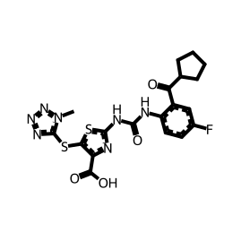 Cn1nnnc1Sc1sc(NC(=O)Nc2ccc(F)cc2C(=O)C2CCCC2)nc1C(=O)O